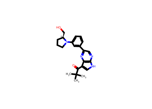 CC(C)(C)C(=O)c1c[nH]c2ncc(-c3cccc(N4CCC[C@H]4CO)c3)nc12